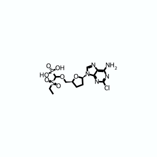 CCS(=O)(=O)C(OC[C@@H]1CC[C@H](n2cnc3c(N)nc(Cl)nc32)O1)P(=O)(O)O